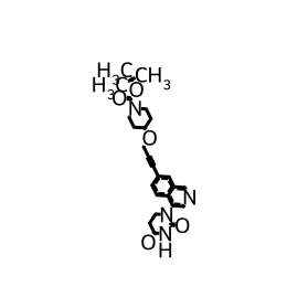 CC(C)(C)OC(=O)N1CCC(OCC#Cc2ccc3c(N4CCC(=O)NC4=O)cncc3c2)CC1